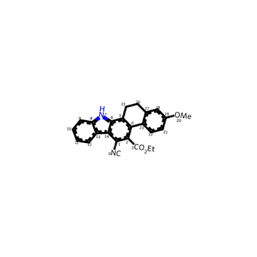 [C-]#[N+]c1c(C(=O)OCC)c2c(c3[nH]c4ccccc4c13)CCc1cc(OC)ccc1-2